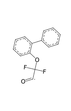 O=[C]C(F)(F)Oc1ccccc1-c1ccccc1